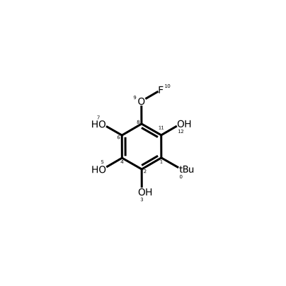 CC(C)(C)c1c(O)c(O)c(O)c(OF)c1O